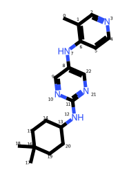 Cc1cnccc1Nc1cnc(NC2CCC(C)(C)CC2)nc1